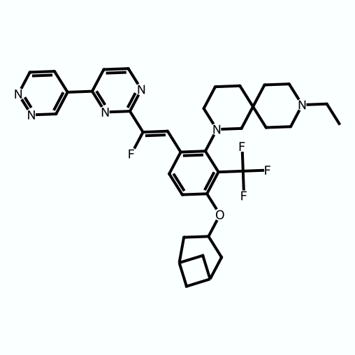 CCN1CCC2(CCCN(c3c(/C=C(\F)c4nccc(-c5ccnnc5)n4)ccc(OC4CC5CC(C5)C4)c3C(F)(F)F)C2)CC1